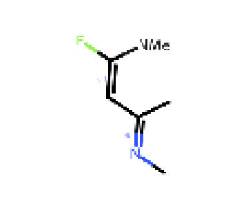 C/N=C(C)/C=C(/F)NC